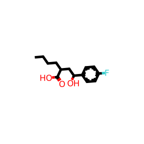 CCCCC(CC(O)c1ccc(F)cc1)C(=O)O